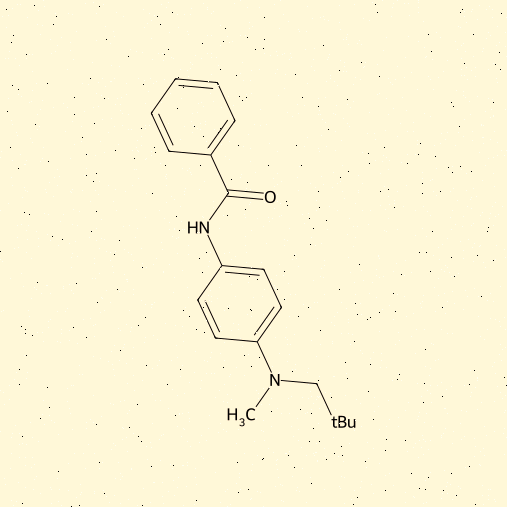 CN(CC(C)(C)C)c1ccc(NC(=O)c2ccccc2)cc1